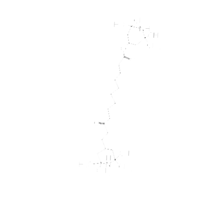 CC1(C)CC(CCC(=O)CCCCCCCCC(=O)OC2CC(C)(C)NC(C)(C)C2)CC(C)(C)N1